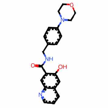 O=C(NCc1ccc(N2CCOCC2)cc1)c1cc2ncccc2cc1O